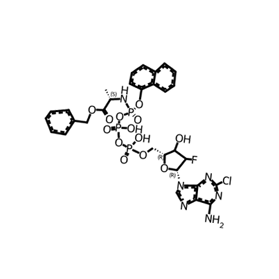 C[C@H](NP(=O)(Oc1cccc2ccccc12)OP(=O)(O)OP(=O)(O)OC[C@H]1O[C@@H](n2cnc3c(N)nc(Cl)nc32)C(F)C1O)C(=O)OCc1ccccc1